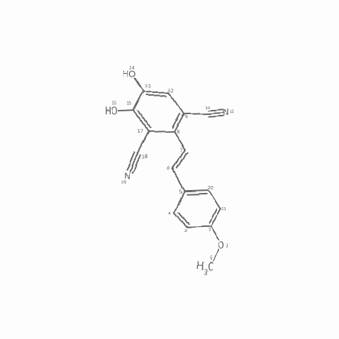 COc1ccc(C=Cc2c(C#N)cc(O)c(O)c2C#N)cc1